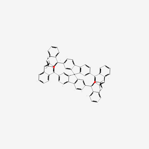 Fc1cc(-c2ccc3c(c2)C2(c4cc(-c5cc(F)cc6ccccc56)ccc4-3)c3cc(-c4cc(F)cc5ccccc45)ccc3-c3ccc(-c4cc(F)cc5ccccc45)cc32)c2ccccc2c1